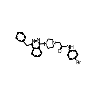 O=C(CN1CCN(c2nnc(Cc3ccccc3)c3ccccc23)CC1)Nc1ccc(Br)cc1